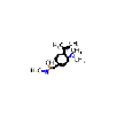 C/C=C(\C)C1C=CC(C/S(C)=N/C)=CCC1N(C)C